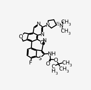 CN(C)[C@H]1CCN(c2ncc3c4c(c(-c5ccc(F)c6sc(NC(=O)OC(C)(C)C)c(C#N)c56)c(Cl)c3n2)COC4)C1